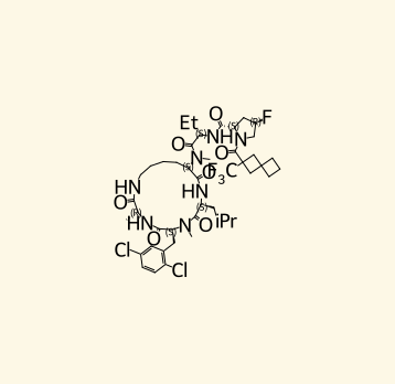 CC[C@H](NC(=O)[C@@H]1C[C@@H](F)CN1C(=O)C1(C(F)(F)F)CC2(CCC2)C1)C(=O)N(C)[C@H]1CCCCNC(=O)[C@@H](C)NC(=O)[C@H](Cc2cc(Cl)ccc2Cl)N(C)C(=O)[C@H](CC(C)C)NC1=O